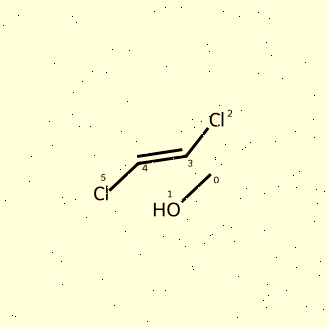 CO.Cl/C=C/Cl